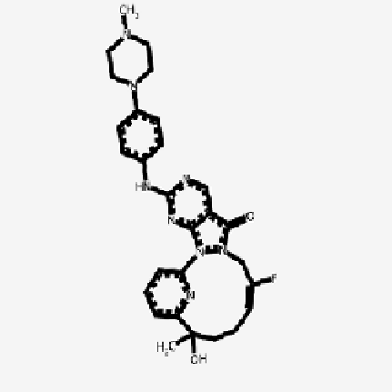 CN1CCN(c2ccc(Nc3ncc4c(=O)n5n(c4n3)-c3cccc(n3)C(C)(O)CC/C=C(/F)C5)cc2)CC1